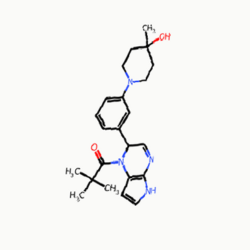 CC1(O)CCN(c2cccc(C3C=Nc4[nH]ccc4N3C(=O)C(C)(C)C)c2)CC1